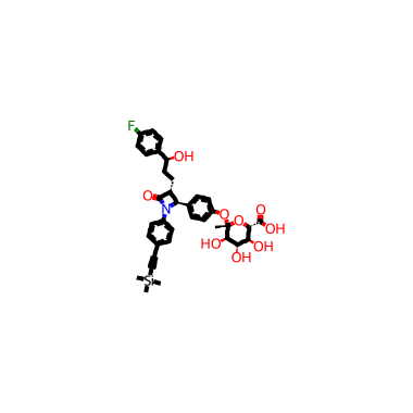 C[C@@]1(Oc2ccc([C@@H]3[C@@H](CC[C@H](O)c4ccc(F)cc4)C(=O)N3c3ccc(C#C[Si](C)(C)C)cc3)cc2)O[C@H](C(=O)O)[C@@H](O)[C@H](O)[C@H]1O